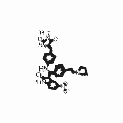 CN1C(=O)N/C(=C\c2ccc(N/C(=C3\C(=O)Nc4ccc([N+](=O)[O-])cc43)c3ccc(CCN4CCCC4)cc3)cc2)C1=O